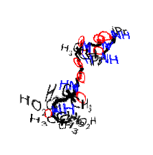 CC(C)NC(=O)CN(CC(O)NC(C)C)C(=O)CCNC(=O)C(C)(C)CCOCCOCCNC(=O)C(C)(C)CC[C@H](NC(=O)C(C)(C)CC(C)(C)CC(=O)O)C(=O)O